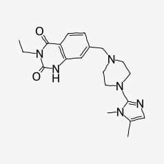 CCn1c(=O)[nH]c2cc(CN3CCN(c4ncc(C)n4C)CC3)ccc2c1=O